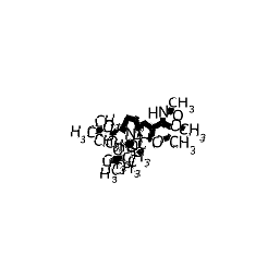 CCOC[C@]1(CC(C(COC)NC(C)=O)C(C)OCC)CC[C@H](C(=O)OC(C)(C)C)N1C(=O)OC(C)(C)C